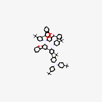 CC(C)(C)c1ccc(N2B3c4cc5c(-c6ccccc6)oc(-c6ccccc6)c5cc4N(c4ccc(C(C)(C)C)cc4-c4ccccc4)c4c3c(cc3c4oc4ccccc43)-c3cc4c(cc32)C(C)(C)c2cc(N(c3ccc(C(C)(C)C)cc3)c3ccc(C(C)(C)C)cc3)ccc2-4)cc1